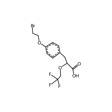 O=C(O)C(Cc1ccc(OCCBr)cc1)OCC(F)(F)F